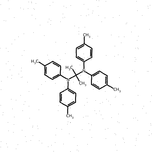 Cc1ccc(N(c2ccc(C)cc2)C(C)(C)N(c2ccc(C)cc2)c2ccc(C)cc2)cc1